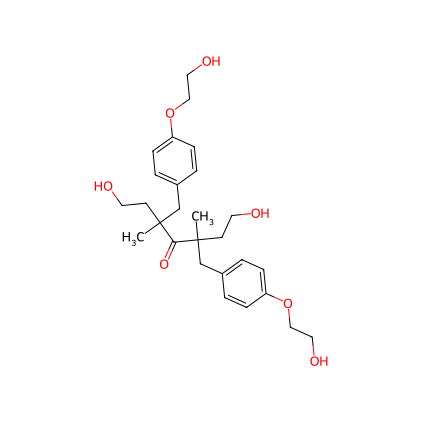 CC(CCO)(Cc1ccc(OCCO)cc1)C(=O)C(C)(CCO)Cc1ccc(OCCO)cc1